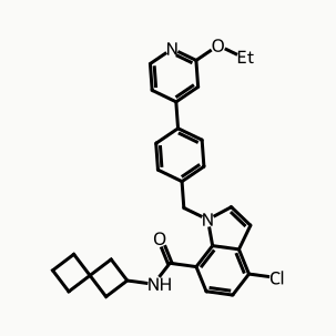 CCOc1cc(-c2ccc(Cn3ccc4c(Cl)ccc(C(=O)NC5CC6(CCC6)C5)c43)cc2)ccn1